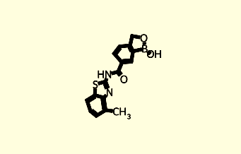 Cc1cccc2sc(NC(=O)c3ccc4c(c3)B(O)OC4)nc12